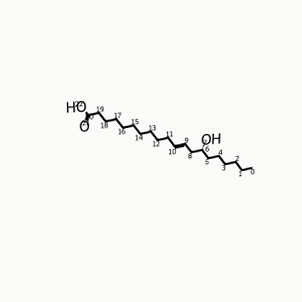 CCCCCC[C@@H](O)CC=CCCCCCCCCCC(=O)O